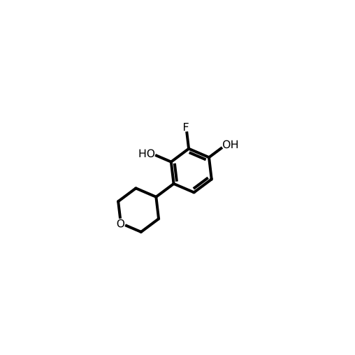 Oc1ccc(C2CCOCC2)c(O)c1F